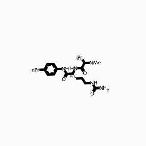 CCCc1ccc(NC(=O)[C@@H](CCCNC(N)=O)NC(=O)C(NC)C(C)C)cc1